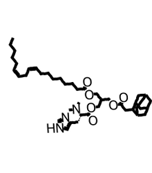 CCCCC/C=C\C/C=C\CCCCCCCC(=O)OCC(COC(=O)CC1C2CC3CC(C2)CC1C3)COC(=O)[C@H](Cc1c[nH]cn1)N(C)C